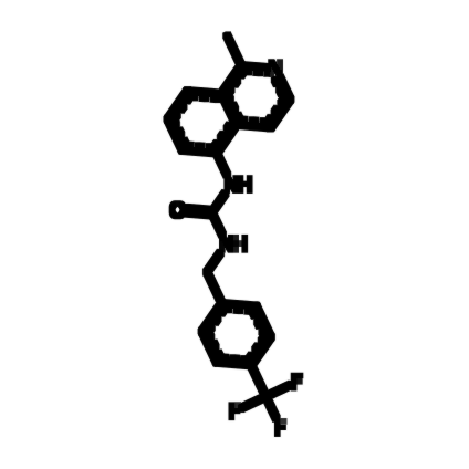 Cc1nccc2c(NC(=O)NCc3ccc(C(F)(F)F)cc3)cccc12